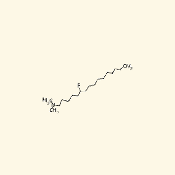 CCCCCCCCCCC(F)CCCCCN(C)C